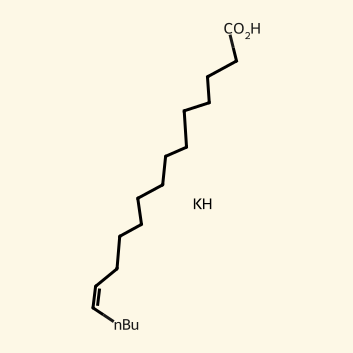 CCCC/C=C\CCCCCCCCCCCC(=O)O.[KH]